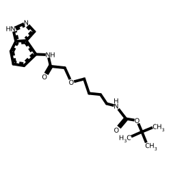 CC(C)(C)OC(=O)NCCCCOCC(=O)Nc1cccc2[nH]ncc12